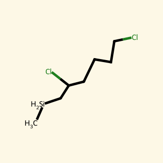 C[SiH2]CC(Cl)CCCCCl